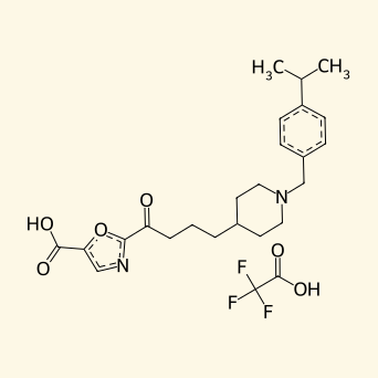 CC(C)c1ccc(CN2CCC(CCCC(=O)c3ncc(C(=O)O)o3)CC2)cc1.O=C(O)C(F)(F)F